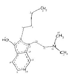 CCCCc1c(O)c2ccncc2n1CCN(C)C